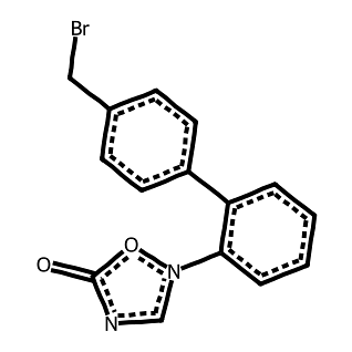 O=c1ncn(-c2ccccc2-c2ccc(CBr)cc2)o1